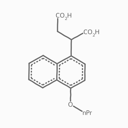 CCCOc1ccc(C(CC(=O)O)C(=O)O)c2ccccc12